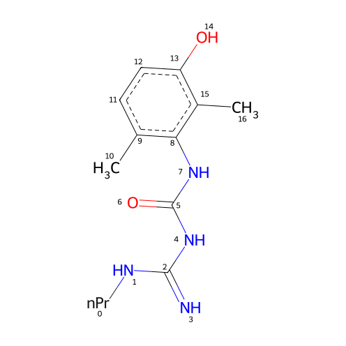 CCCNC(=N)NC(=O)Nc1c(C)ccc(O)c1C